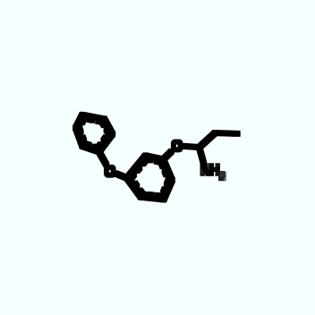 CCC(N)Oc1cccc(Oc2ccccc2)c1